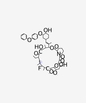 CCC1/C=C(\C)C(F)C(C)CC(OC)C2OC(O)(C(=O)C(=O)N3CCCCC3C(=O)OC(C(C)=CC3CCC(O)C(Oc4ccc(Oc5ccccc5)cc4)C3)C(C)C(O)CC1=O)C(C)CC2OC